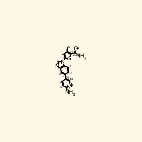 Cc1cc(-n2cnc3cc(-c4ccc(N)nc4)ccc32)sc1C(N)=O